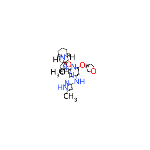 CCC(=O)N1[C@@H]2CCC[C@H]1C[C@@H](N(C)c1nc(Nc3cc(C)[nH]n3)cc(O[C@@H]3CCOC3)n1)C2